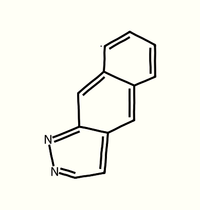 [c]1cccc2cc3ccnnc3cc12